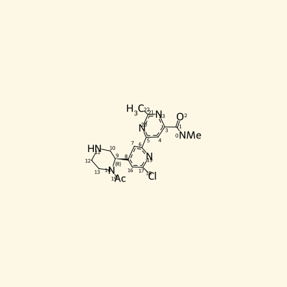 CNC(=O)c1cc(-c2cc([C@@H]3CNCCN3C(C)=O)cc(Cl)n2)nc(C)n1